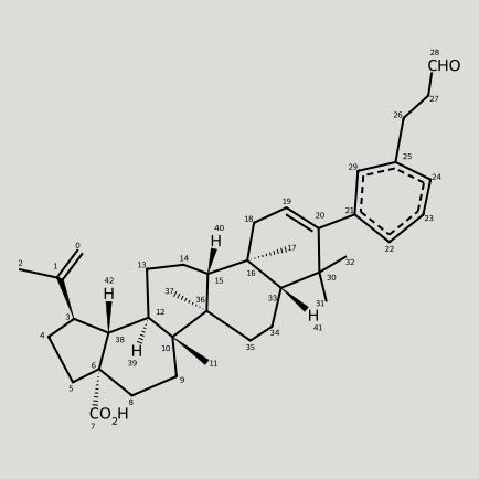 C=C(C)[C@@H]1CC[C@]2(C(=O)O)CC[C@]3(C)[C@H](CC[C@@H]4[C@@]5(C)CC=C(c6cccc(CCC=O)c6)C(C)(C)[C@@H]5CC[C@]43C)[C@@H]12